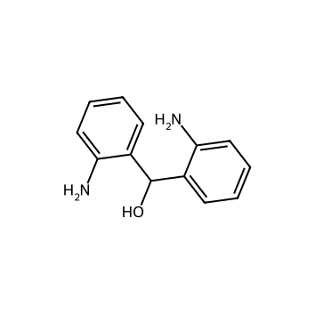 Nc1ccccc1C(O)c1ccccc1N